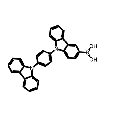 OB(O)c1ccc2c(c1)c1ccccc1n2-c1ccc(-n2c3ccccc3c3ccccc32)cc1